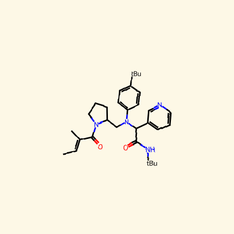 C/C=C(\C)C(=O)N1CCCC1CN(c1ccc(C(C)(C)C)cc1)C(C(=O)NC(C)(C)C)c1cccnc1